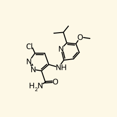 COc1ccc(Nc2cc(Cl)nnc2C(N)=O)nc1C(C)C